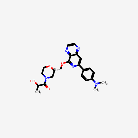 CC(O)C(=O)N1CCO[C@H](COc2nc(-c3ccc(N(C)C)cc3)cc3nccnc23)C1